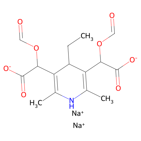 CCC1C(C(OC=O)C(=O)[O-])=C(C)NC(C)=C1C(OC=O)C(=O)[O-].[Na+].[Na+]